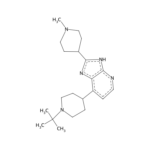 CN1CCC(c2nc3c(C4CCN(C(C)(C)C)CC4)ccnc3[nH]2)CC1